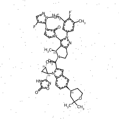 Cc1cc(-n2nc3c(c2-n2ccn(-c4c(F)cnn4C)c2=O)[C@H](C)N(C(=O)c2cc4cc([C@H]5CCOC(C)(C)C5)ccc4n2[C@@]2(c4noc(=O)[nH]4)C[C@@H]2C)CC3)cc(C)c1F